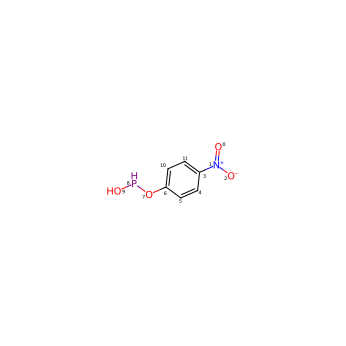 O=[N+]([O-])c1ccc(OPO)cc1